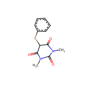 CN1C(=O)C(Sc2ccccc2)C(=O)N(C)C1=O